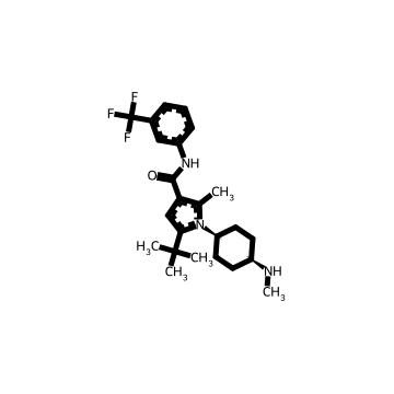 CN[C@H]1CC[C@@H](n2c(C(C)(C)C)cc(C(=O)Nc3cccc(C(F)(F)F)c3)c2C)CC1